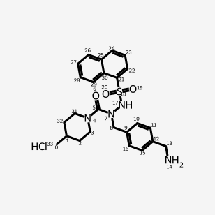 CC1CCN(C(=O)N(Cc2ccc(CN)cc2)NS(=O)(=O)c2cccc3ccccc23)CC1.Cl